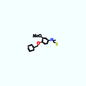 COc1cc(N=C=S)ccc1OCc1ccccc1